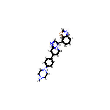 CN1CCN(c2ccc(-c3ccn4c(-c5cccc6ncsc56)cnc4c3)cc2)CC1